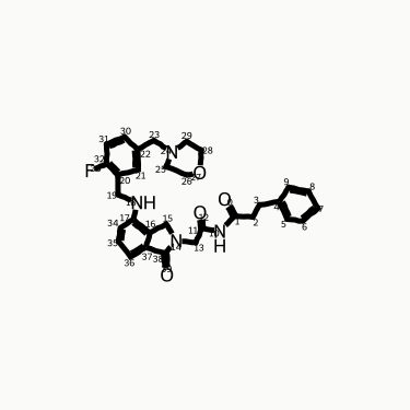 O=C(CCc1ccccc1)NC(=O)CN1Cc2c(NCc3cc(CN4CCOCC4)ccc3F)cccc2C1=O